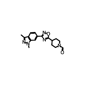 Cc1nn(C)c2cc(-c3noc(C4CCN(C=O)CC4)n3)ccc12